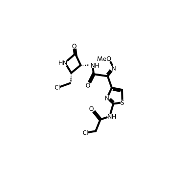 CO/N=C(\C(=O)N[C@H]1C(=O)N[C@H]1CCl)c1csc(NC(=O)CCl)n1